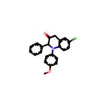 COc1ccc(N2c3ccc(Br)cc3CC(=O)C2c2ccccc2)cc1